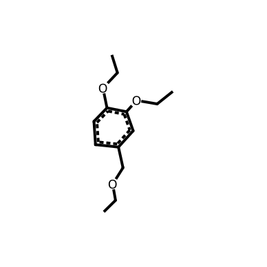 CCOCc1ccc(OCC)c(OCC)c1